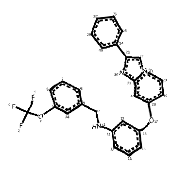 FC(F)(F)Oc1cccc(CNc2cccc(Oc3ccn4cc(-c5ccccc5)nc4c3)c2)c1